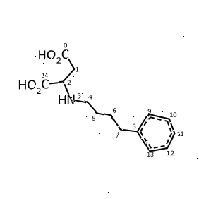 O=C(O)CC(NCCCCc1ccccc1)C(=O)O